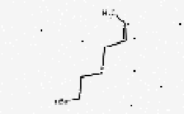 C/[C]=C\CCCCCCCC